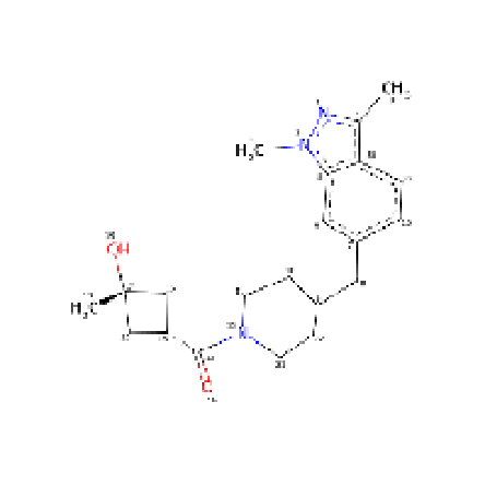 Cc1nn(C)c2cc(CC3CCN(C(=O)[C@H]4C[C@@](C)(O)C4)CC3)ccc12